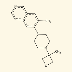 Cc1cc2cnccc2cc1C1CCN(C2(C)COC2)CC1